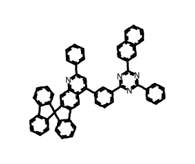 c1ccc(-c2cc(-c3cccc(-c4nc(-c5ccccc5)nc(-c5ccc6ccccc6c5)n4)c3)c3cc4c(cc3n2)C2(c3ccccc3-c3ccccc32)c2ccccc2-4)cc1